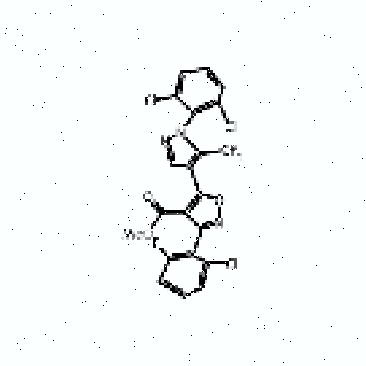 COC(=O)c1c(-c2c(F)cccc2Cl)noc1-c1cnn(-c2c(Cl)cccc2Cl)c1C(F)(F)F